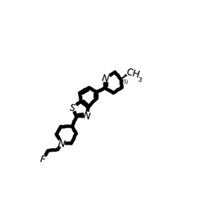 C[C@H]1CCC(c2ccc3sc(C4CCN(CCF)CC4)nc3c2)=NC1